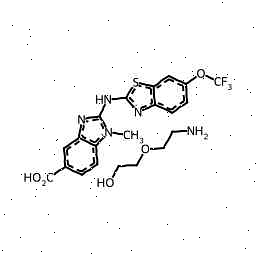 Cn1c(Nc2nc3ccc(OC(F)(F)F)cc3s2)nc2cc(C(=O)O)ccc21.NCCOCCO